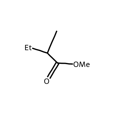 [CH2]OC(=O)C(C)CC